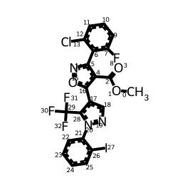 COC(=O)c1c(-c2c(F)cccc2Cl)noc1-c1cnn(-c2ccccc2I)c1C(F)(F)F